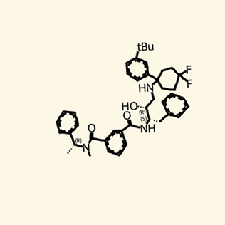 C[C@H](c1ccccc1)N(C)C(=O)c1cccc(C(=O)N[C@@H](Cc2ccccc2)[C@H](O)CNC2(c3cccc(C(C)(C)C)c3)CCC(F)(F)CC2)c1